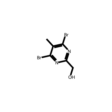 Cc1c(Br)nc(CO)nc1Br